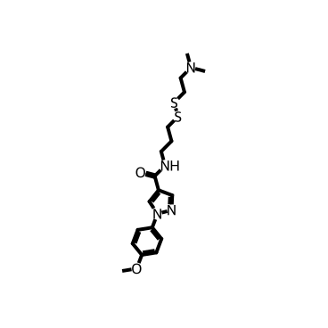 COc1ccc(-n2cc(C(=O)NCCCSSCCN(C)C)cn2)cc1